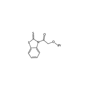 CC(C)OCC(=O)n1c(=S)sc2ccccc21